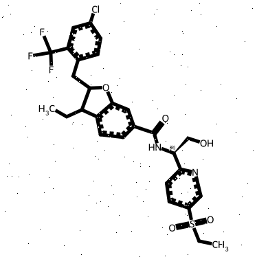 CCC1c2ccc(C(=O)N[C@@H](CO)c3ccc(S(=O)(=O)CC)cn3)cc2OC1Cc1ccc(Cl)cc1C(F)(F)F